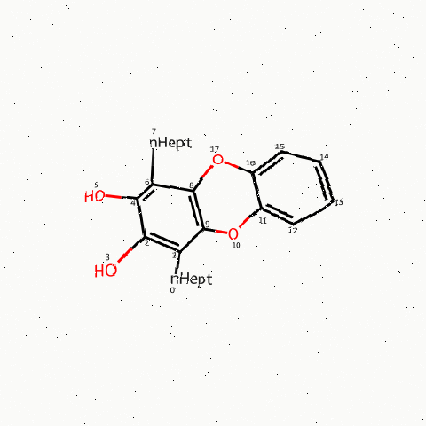 CCCCCCCc1c(O)c(O)c(CCCCCCC)c2c1Oc1ccccc1O2